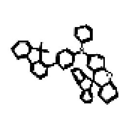 CC1(C)c2ccccc2-c2cccc(-c3ccc(N(c4ccccc4)c4ccc5c(c4)C4(c6ccccc6O5)c5ccccc5-c5ccccc54)cc3)c21